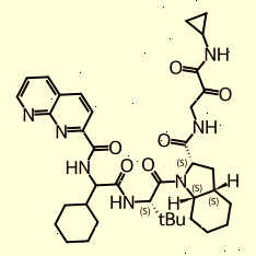 CC(C)(C)[C@H](NC(=O)C(NC(=O)c1ccc2cccnc2n1)C1CCCCC1)C(=O)N1[C@H](C(=O)NCC(=O)C(=O)NC2CC2)C[C@@H]2CCCC[C@@H]21